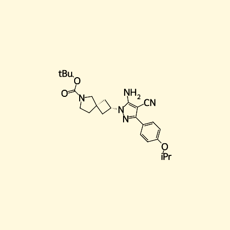 CC(C)Oc1ccc(-c2nn([C@H]3C[C@@]4(CCN(C(=O)OC(C)(C)C)C4)C3)c(N)c2C#N)cc1